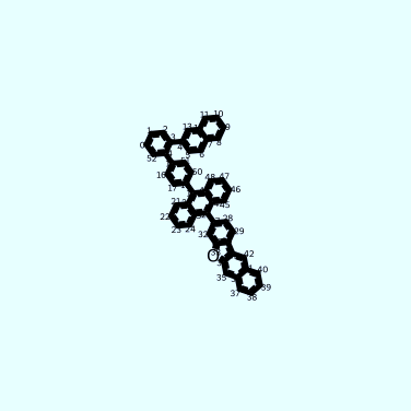 c1ccc(-c2ccc3ccccc3c2)c(-c2ccc(-c3c4ccccc4c(-c4ccc5c(c4)oc4cc6ccccc6cc45)c4ccccc34)cc2)c1